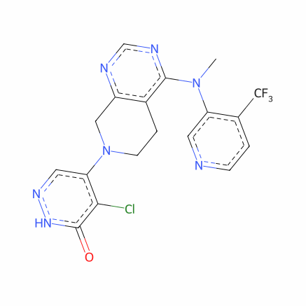 CN(c1cnccc1C(F)(F)F)c1ncnc2c1CCN(c1cn[nH]c(=O)c1Cl)C2